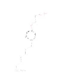 CCCCCCCCCCCCCCCCc1ccc(OCCO)cc1